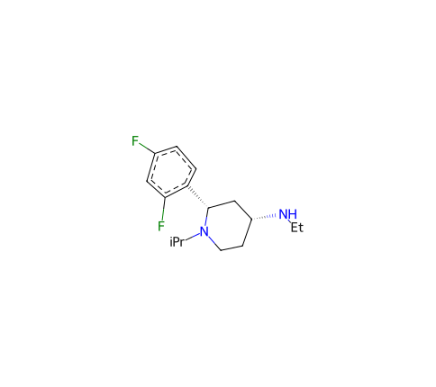 CCN[C@@H]1CCN(C(C)C)[C@H](c2ccc(F)cc2F)C1